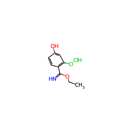 CCOC(=N)c1ccc(O)cc1Cl.Cl